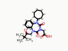 CC(C)(C)C(=O)CN1C(=O)N(CC(=O)O)C(=O)N(C2CCCCCC2)c2ccccc21